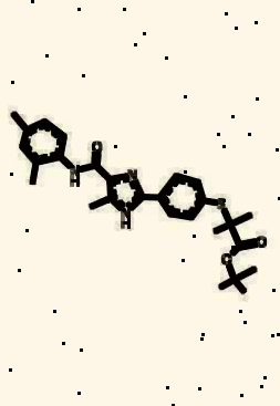 Cc1ccc(NC(=O)c2nc(-c3ccc(SC(C)(C)C(=O)OC(C)(C)C)cc3)[nH]c2C)c(C)c1